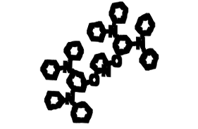 c1ccc(N(c2ccccc2)c2cc(Oc3cccc(Oc4cc(N(c5ccccc5)c5ccccc5)cc(N(c5ccccc5)c5ccccc5)c4)n3)cc(N(c3ccccc3)c3ccccc3)c2)cc1